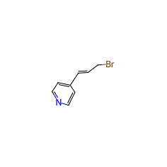 BrCC=Cc1ccncc1